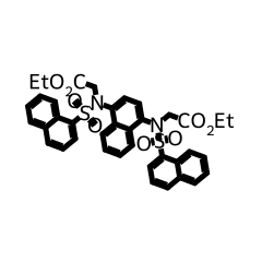 CCOC(=O)CN(c1ccc(N(CC(=O)OCC)S(=O)(=O)c2cccc3ccccc23)c2ccccc12)S(=O)(=O)c1cccc2ccccc12